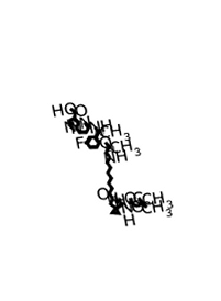 C[C@@H](CNCCCCCCC(=O)N1C[C@H](NC(=O)OC(C)(C)C)C2(CC2)C1)Oc1ccc(F)cc1[C@@H](C)Nc1ccn2ncc(C(=O)O)c2n1